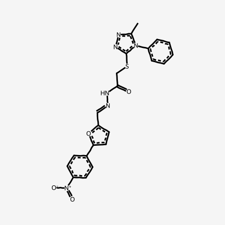 Cc1nnc(SCC(=O)N/N=C/c2ccc(-c3ccc([N+](=O)[O-])cc3)o2)n1-c1ccccc1